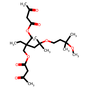 CCC(COC(=O)CC(C)=O)(COC(=O)CC(C)=O)CC(C)(C)OCCC(C)(C)OC